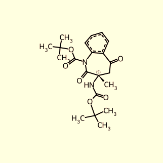 CC(C)(C)OC(=O)N[C@@]1(C)CC(=O)c2ccccc2N(C(=O)OC(C)(C)C)C1=O